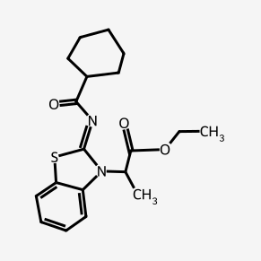 CCOC(=O)C(C)n1c(=NC(=O)C2CCCCC2)sc2ccccc21